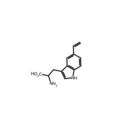 C=Cc1ccc2[nH]cc(CC(N)C(=O)O)c2c1